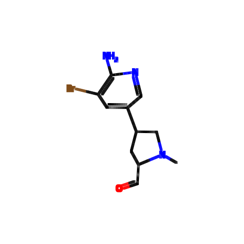 CN1CC(c2cnc(N)c(Br)c2)CC1C=O